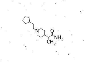 C=C(C(N)=O)C1CCN(CCC2CCCC2)CC1